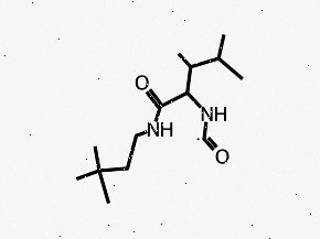 CC(C)C(C)C(N[C]=O)C(=O)NCCC(C)(C)C